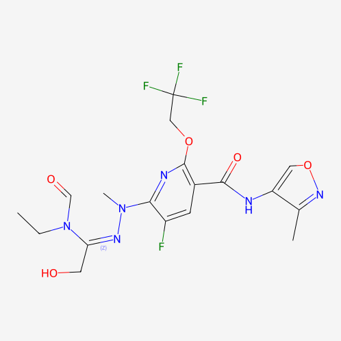 CCN(C=O)/C(CO)=N\N(C)c1nc(OCC(F)(F)F)c(C(=O)Nc2conc2C)cc1F